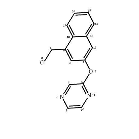 ClCc1cc(Oc2cnccn2)cc2ccccc12